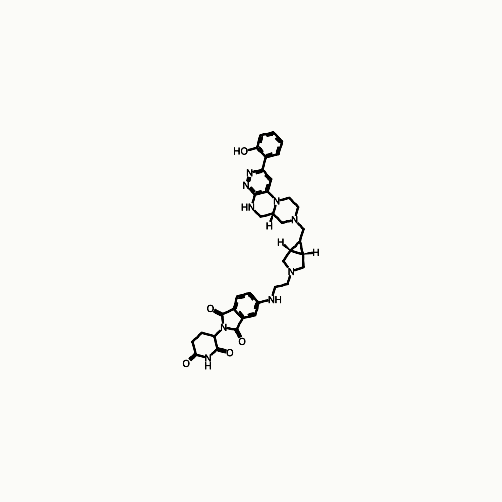 O=C1CCC(N2C(=O)c3ccc(NCCN4C[C@@H]5C(CN6CCN7c8cc(-c9ccccc9O)nnc8NC[C@H]7C6)[C@@H]5C4)cc3C2=O)C(=O)N1